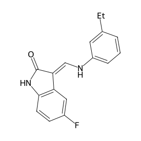 CCc1cccc(N/C=C2/C(=O)Nc3ccc(F)cc32)c1